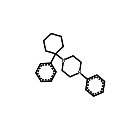 c1ccc(N2CCN(C3(c4ccccc4)CCCCC3)CC2)cc1